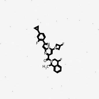 CC1c2ccccc2C(F)CN1C(=O)c1cc(N2CC(F)C2)n2nc(-c3ccc(C4CC4)cc3F)cc2n1